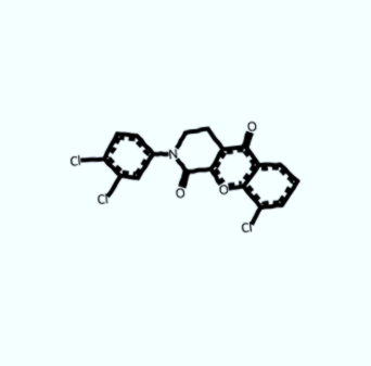 O=C1c2oc3c(Cl)cccc3c(=O)c2CCN1c1ccc(Cl)c(Cl)c1